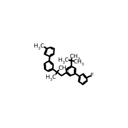 Cc1cccc(-c2cccc(C(C)(C)Cc3cc(-c4cccc(F)c4)cc(C(C)(C)C)c3)c2)c1